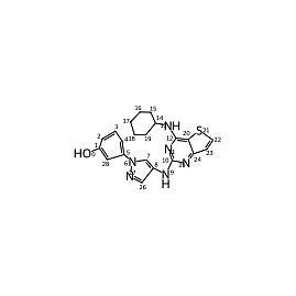 Oc1cccc(-n2cc(Nc3nc(NC4CCCCC4)c4sccc4n3)cn2)c1